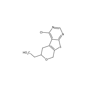 O=C(O)CC1Cc2c(sc3ncnc(Cl)c23)CO1